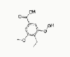 CCc1c(OC)cc(C(=O)O)cc1OO